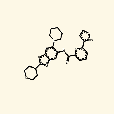 O=C(Nc1cc2oc(C3CCOCC3)nc2cc1N1CCCCC1)c1cccc(-c2ccn[nH]2)n1